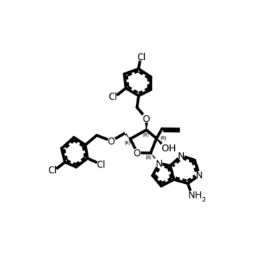 C=C[C@@]1(O)[C@H](OCc2ccc(Cl)cc2Cl)[C@@H](COCc2ccc(Cl)cc2Cl)O[C@H]1n1ccc2c(N)ncnc21